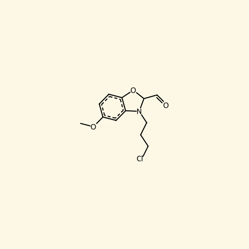 COc1ccc2c(c1)N(CCCCl)C(C=O)O2